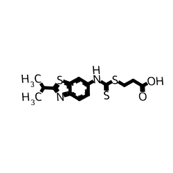 CC(C)c1nc2ccc(NC(=S)SCCC(=O)O)cc2s1